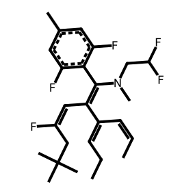 C\C=C/C(=C\CC)C(/C=C(/F)CC(C)(C)C)=C(/c1c(F)cc(C)cc1F)N(C)CC(F)F